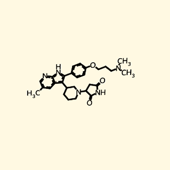 Cc1cnc2[nH]c(-c3ccc(OCCCN(C)C)cc3)c(C3CCCN(C4CC(=O)NC4=O)C3)c2c1